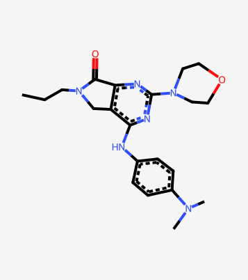 CCCN1Cc2c(Nc3ccc(N(C)C)cc3)nc(N3CCOCC3)nc2C1=O